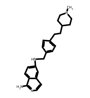 CN1CCC(CCc2ccc(CNc3ccc4c(N)nccc4c3)cc2)CC1